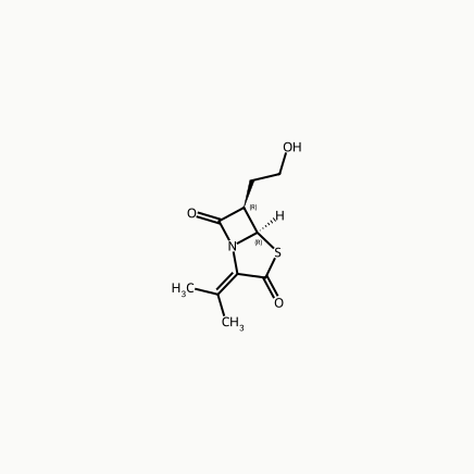 CC(C)=C1C(=O)S[C@@H]2[C@H](CCO)C(=O)N12